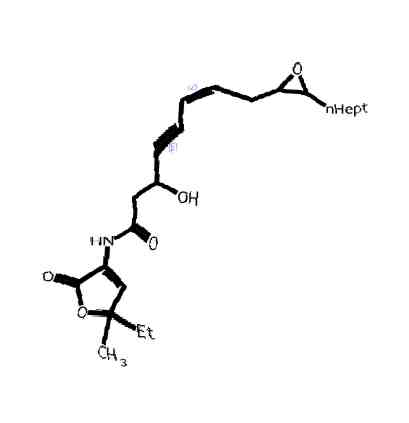 CCCCCCCC1OC1C/C=C\C=C\C(O)CC(=O)NC1=CC(C)(CC)OC1=O